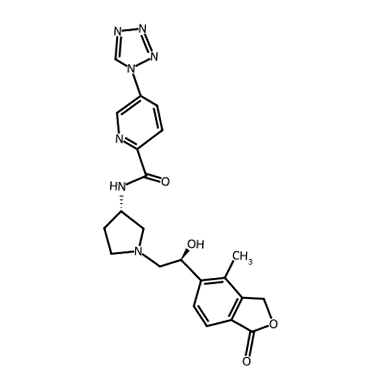 Cc1c([C@H](O)CN2CC[C@H](NC(=O)c3ccc(-n4cnnn4)cn3)C2)ccc2c1COC2=O